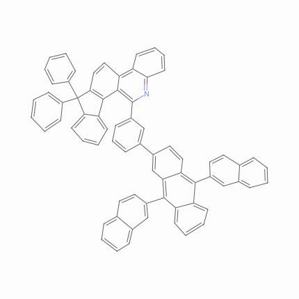 c1ccc(C2(c3ccccc3)c3ccccc3-c3c2ccc2c3c(-c3cccc(-c4ccc5c(-c6ccc7ccccc7c6)c6ccccc6c(-c6ccc7ccccc7c6)c5c4)c3)nc3ccccc32)cc1